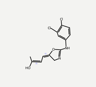 C/C(O)=C\C=C1/CN=C(Nc2ccc(Cl)c(Cl)c2)O1